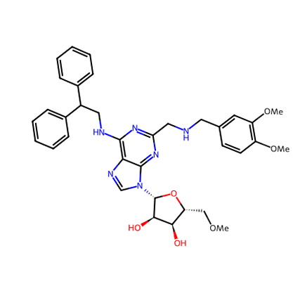 COC[C@H]1O[C@@H](n2cnc3c(NCC(c4ccccc4)c4ccccc4)nc(CNCc4ccc(OC)c(OC)c4)nc32)[C@H](O)[C@@H]1O